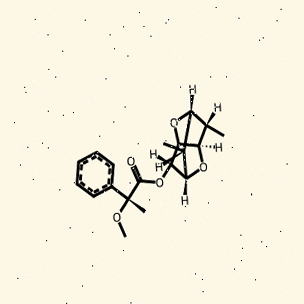 CO[C@@](C)(C(=O)O[C@@H]1C2O[C@H]3[C@@H](C)[C@@H]1O[C@@H]2[C@H]3C)c1ccccc1